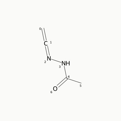 C=C=NNC(C)=O